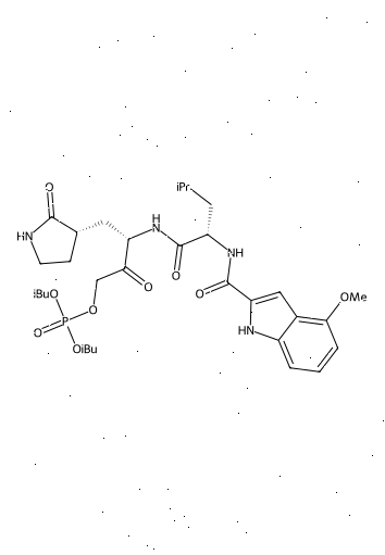 COc1cccc2[nH]c(C(=O)N[C@@H](CC(C)C)C(=O)N[C@@H](C[C@@H]3CCNC3=O)C(=O)COP(=O)(OCC(C)C)OCC(C)C)cc12